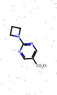 CCOC(=O)c1cnc(N2CCC2)nc1